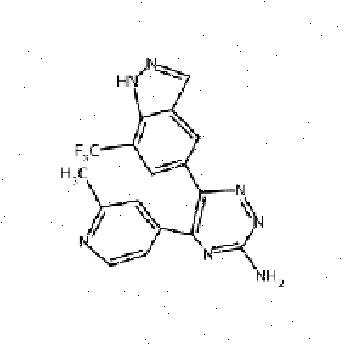 Cc1cc(-c2nc(N)nnc2-c2cc(C(F)(F)F)c3[nH]ncc3c2)ccn1